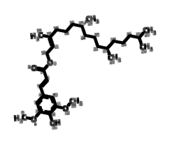 COc1cc(/C=C/C(=O)OC/C=C(\C)CCC[C@H](C)CCC[C@H](C)CCCC(C)C)cc(OC)c1O